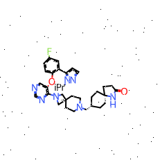 CC(C)n1nccc1-c1cc(F)ccc1Oc1cncnc1N1CC2(CCN(C[C@H]3CC[C@@]4(CCC(=O)N4)CC3)CC2)C1